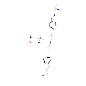 N=C(N)NCCc1ccc(OCCCCCCOc2ccc(CCNC(=N)N)cc2)cc1.O=C(O)C(F)(F)F.O=C(O)C(F)(F)F